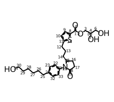 O=C(OC[C@H](O)CO)c1ccc(CCC[C@H]2CCC(=O)N2c2ccc(CCCCCCO)cc2)s1